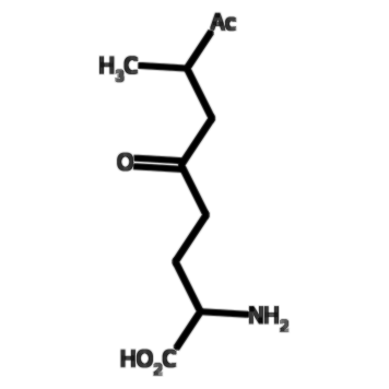 CC(=O)C(C)CC(=O)CCC(N)C(=O)O